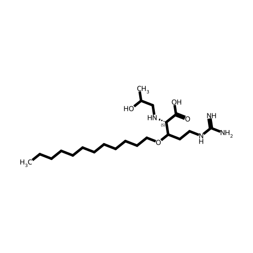 CCCCCCCCCCCCOC(CCNC(=N)N)[C@H](NCC(C)O)C(=O)O